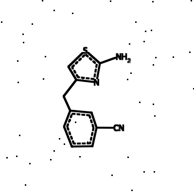 N#Cc1cccc(Cc2csc(N)n2)c1